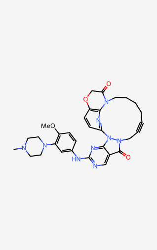 COc1ccc(Nc2ncc3c(=O)n4n(c3n2)-c2ccc3c(n2)N(CCCCC#CC4)C(=O)CO3)cc1N1CCN(C)CC1